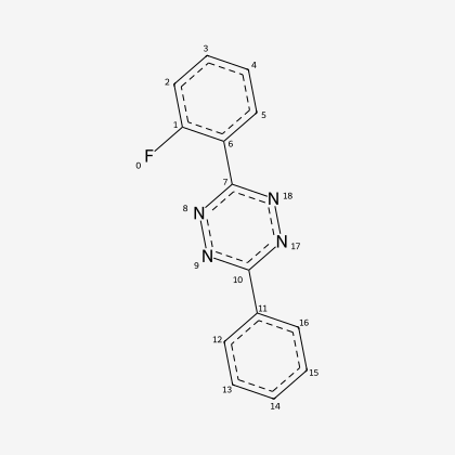 Fc1ccccc1-c1nnc(-c2ccccc2)nn1